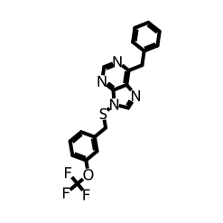 FC(F)(F)Oc1cccc(CSn2cnc3c(Cc4ccccc4)ncnc32)c1